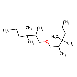 CCCC(C)(C)C(C)COCC(C)C(C)(C)CCC